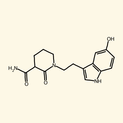 NC(=O)C1CCCN(CCc2c[nH]c3ccc(O)cc23)C1=O